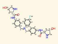 O=C(Nc1ccc(CN(Cc2ccc(NC(=O)[C@@H]3C[C@H](O)CN3)cc2)c2ccc(F)cc2)cc1)C1C[C@H](O)CN1